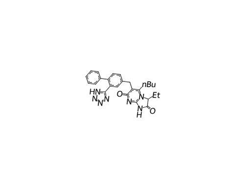 CCCCc1c(Cc2ccc(-c3ccccc3)c(-c3nnn[nH]3)c2)c(=O)nc2n1C(CC)C(=O)N2